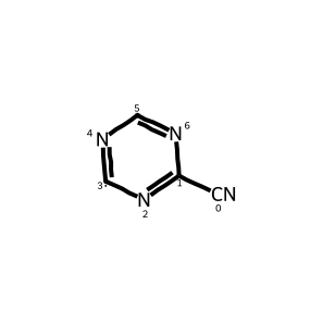 N#Cc1n[c]ncn1